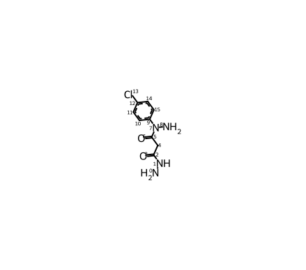 NNC(=O)CC(=O)N(N)c1ccc(Cl)cc1